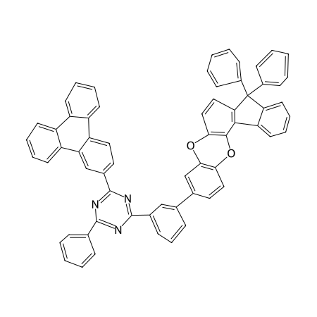 c1ccc(-c2nc(-c3cccc(-c4ccc5c(c4)Oc4ccc6c(c4O5)-c4ccccc4C6(c4ccccc4)c4ccccc4)c3)nc(-c3ccc4c5ccccc5c5ccccc5c4c3)n2)cc1